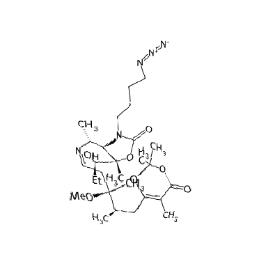 CC[C@@H](O)[C@@]1(C)OC(=O)N(CCCCN=[N+]=[N-])[C@@H]1[C@@H](C)/N=C\C[C@@](C)(OC)[C@H](C)CC1=C(C)C(=O)OC(C)(C)O1